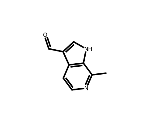 Cc1nccc2c(C=O)c[nH]c12